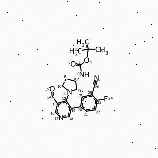 CC(C)(C)OC(=O)N[C@H]1CCN(c2c(C=O)cncc2-c2ccc(F)c(C#N)c2)C1